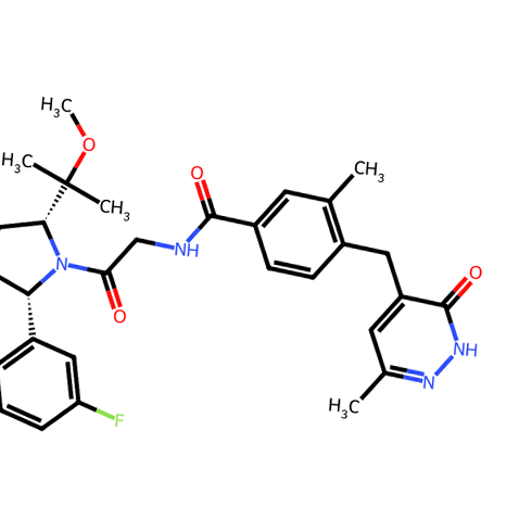 COC(C)(C)[C@H]1CC[C@@H](c2cccc(F)c2)N1C(=O)CNC(=O)c1ccc(Cc2cc(C)n[nH]c2=O)c(C)c1